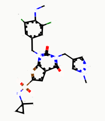 CNc1c(F)cc(Cn2c(=O)n(Cc3cnn(C)c3)c(=O)c3cc(S(=O)(=O)NC4(C)CC4)sc32)cc1F